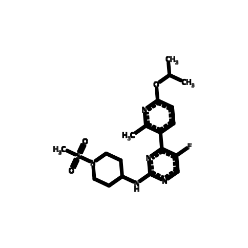 Cc1nc(OC(C)C)ccc1-c1nc(NC2CCN(S(C)(=O)=O)CC2)ncc1F